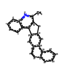 Cc1nc2ccccc2c2c1Cc1cc3c(ccc4ccccc43)cc1-2